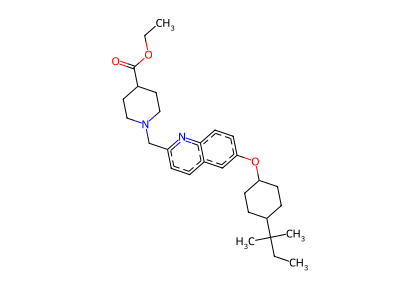 CCOC(=O)C1CCN(Cc2ccc3cc(OC4CCC(C(C)(C)CC)CC4)ccc3n2)CC1